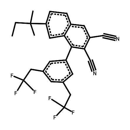 CCC(C)(C)c1ccc2cc(C#N)c(C#N)c(-c3cc(CC(F)(F)F)cc(CC(F)(F)F)c3)c2c1